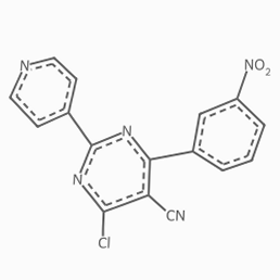 N#Cc1c(Cl)nc(-c2ccncc2)nc1-c1cccc([N+](=O)[O-])c1